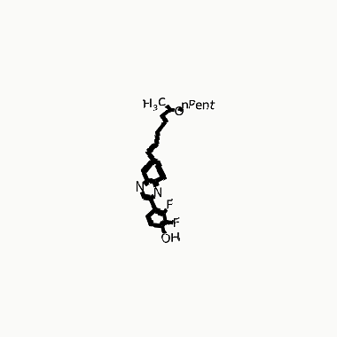 CCCCCOC(C)CCC/C=C/c1ccc2nc(-c3ccc(O)c(F)c3F)cnc2c1